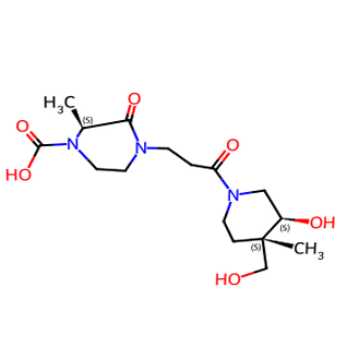 C[C@H]1C(=O)N(CCC(=O)N2CC[C@@](C)(CO)[C@H](O)C2)CCN1C(=O)O